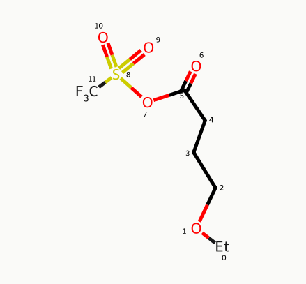 CCOCCCC(=O)OS(=O)(=O)C(F)(F)F